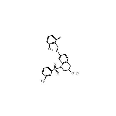 O=C(O)C1Cc2ccc(OCc3c(F)cccc3C(F)(F)F)cc2N(S(=O)(=O)c2cccc(C(F)(F)F)c2)C1